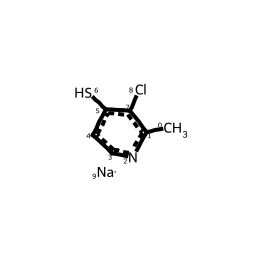 Cc1nccc(S)c1Cl.[Na]